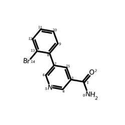 NC(=O)c1cncc(-c2ccccc2Br)c1